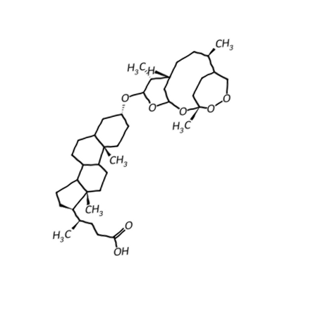 C[C@@H]1CC[C@@H]2CC(OC(O[C@@H]3CC[C@@]4(C)C(CCC5C4CC[C@@]4(C)C5CC[C@@H]4[C@H](C)CCC(=O)O)C3)[C@@H]2C)O[C@]2(C)CCC1COO2